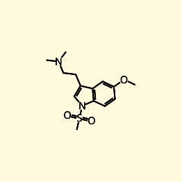 COc1ccc2c(c1)c(CCN(C)C)cn2S(C)(=O)=O